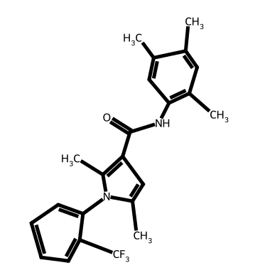 Cc1cc(C)c(NC(=O)c2cc(C)n(-c3ccccc3C(F)(F)F)c2C)cc1C